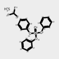 FC(F)F.S.[O]=[Sb]([O]c1ccccc1)([O]c1ccccc1)[O]c1ccccc1